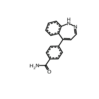 NC(=O)c1ccc(C2=CC=NNc3ccccc32)cc1